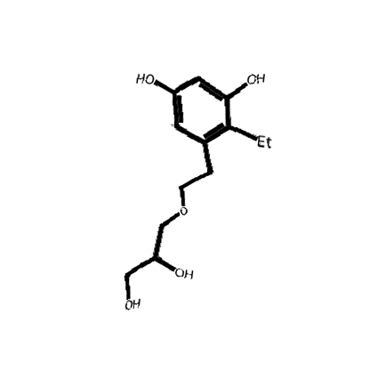 CCc1c(CCOCC(O)CO)[c]c(O)cc1O